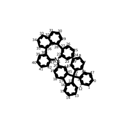 c1ccc(C2(c3ccccc3)c3ccccc3-c3ccc(N4c5ccccc5-c5cccc6cccc(c56)-c5ccccc54)cc32)cc1